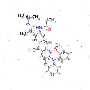 C=CC(=O)Nc1cc(Nc2ncc(Cl)c(N(c3ccccc3OC)N3CCOCC3)n2)c(OC)cc1N(C)CCN(C)C